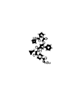 CCCCOC(=O)N1CCN(C(=O)[C@H](CC2CC2)NC(=O)c2cc(OCC(=O)N3CCC[C@H]3C(=O)NC3CCC3)n(-c3ccccc3)n2)CC1